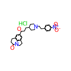 Cl.O=C(CCC1CCN(CCc2ccc([N+](=O)[O-])cc2)CC1)c1cc2c3c(c1)CCN3C(=O)CC2